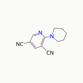 N#Cc1cnc(N2CCCCC2)c(C#N)c1